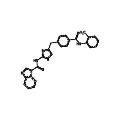 Cc1ccccc1NC(=O)c1ccc(Cc2cnc(NC(=O)c3coc4ccccc34)s2)cc1